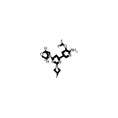 Nc1ncc(-c2cc(N3C[C@@H]4C[C@H]3CO4)nc(N3CC(F)C3)n2)cc1OC(F)F